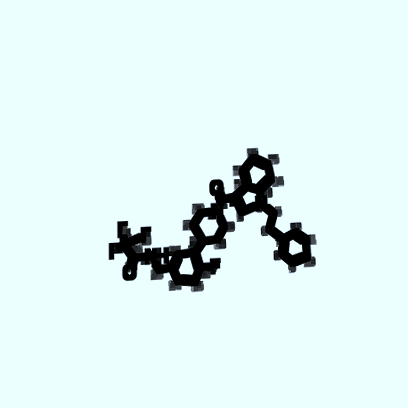 O=C(c1cn(CCc2ccccc2)c2ccccc12)N1CCC(c2cc(CNC(=O)C(F)(F)F)ccc2F)CC1